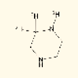 [2H]N1CCNCC1([2H])[2H]